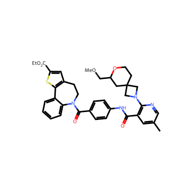 CCOC(=O)c1cc2c(s1)-c1ccccc1N(C(=O)c1ccc(NC(=O)c3cc(C)cnc3N3CC4(CCOC(COC)C4)C3)cc1)CC2